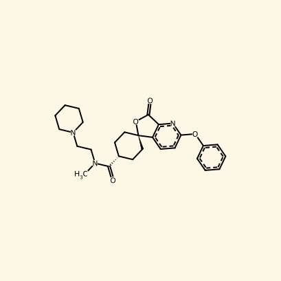 CN(CCN1CCCCC1)C(=O)[C@H]1CC[C@@]2(CC1)OC(=O)c1nc(Oc3ccccc3)ccc12